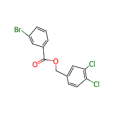 O=C(OCc1ccc(Cl)c(Cl)c1)c1cccc(Br)c1